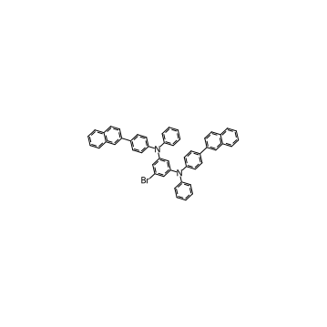 Brc1cc(N(c2ccccc2)c2ccc(-c3ccc4ccccc4c3)cc2)cc(N(c2ccccc2)c2ccc(-c3ccc4ccccc4c3)cc2)c1